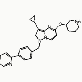 C1=CN2C(=C(C3CC3)CN2Cc2ccc(-c3ccccn3)cc2)N=C1O[C@@H]1CCCNC1